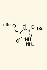 CCCCOC[C@@H](NC(=O)OC(C)(C)C)C(=O)NN